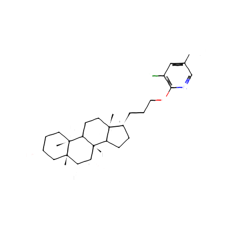 CC[C@H]1[C@@H](O)[C@@H]2[C@H](CC[C@]3(C)[C@@H](CCCOc4ncc(C(=O)O)cc4F)CC[C@@H]23)[C@@]2(C)CC[C@@H](O)C[C@@H]12